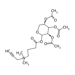 C#CC[N+](C)(C)CCCC(=O)OC1OC[C@@H](OC(C)=O)C(OC(C)=O)[C@H]1OC(C)=O